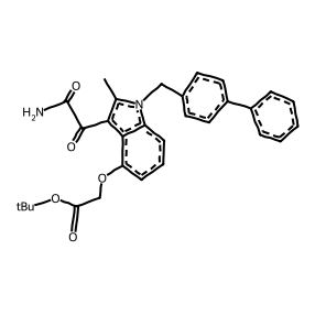 Cc1c(C(=O)C(N)=O)c2c(OCC(=O)OC(C)(C)C)cccc2n1Cc1ccc(-c2ccccc2)cc1